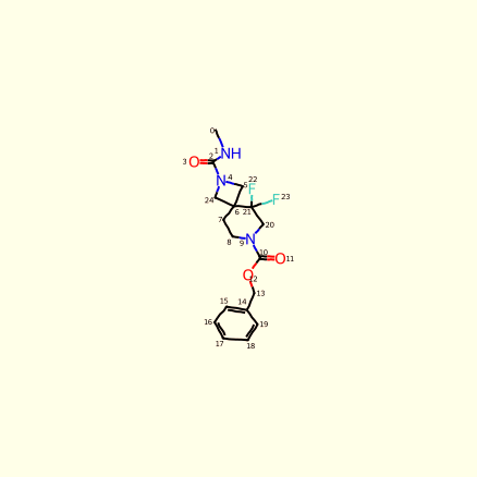 CNC(=O)N1CC2(CCN(C(=O)OCc3ccccc3)CC2(F)F)C1